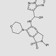 CC(C)N1Cc2cc(NC(O)c3cnn4cccnc34)c(N3CCOCC3)cc2S1(=O)=O